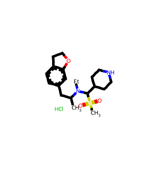 CCN(C(C)Cc1ccc2c(c1)OCC2)C(C1CCNCC1)S(C)(=O)=O.Cl